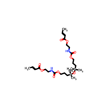 CC=CC(=O)OCCNC(=O)OCCC[Si](C)(C)O[Si](C)(C)CCCOC(=O)NCCOC(=O)C=CC